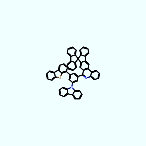 c1ccc2c(c1)-c1ccccc1C21c2ccccc2-c2cc3c(cc21)c(-c1cc(-c2cccc4c2sc2ccccc24)cc(-n2c4ccccc4c4ccccc42)c1)nc1ccccc13